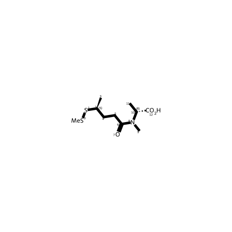 CSS[C@@H](C)CCC(=O)N(C)[C@H](C)C(=O)O